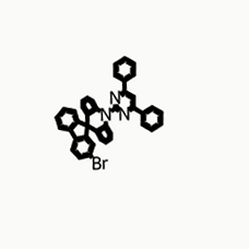 Brc1ccc2c(c1)C1(c3ccccc3-2)c2ccccc2N(c2nc(-c3ccccc3)cc(-c3ccccc3)n2)c2ccccc21